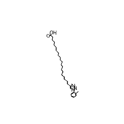 Cc1ccccc1-n1cc(CCCCCCCCCCCCCCCCCCCCC(=O)O)nn1